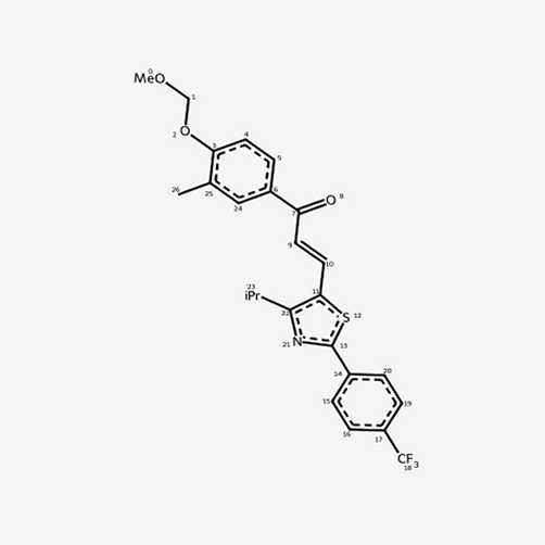 COCOc1ccc(C(=O)C=Cc2sc(-c3ccc(C(F)(F)F)cc3)nc2C(C)C)cc1C